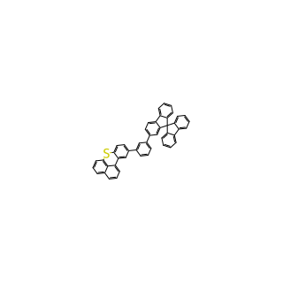 c1cc(-c2ccc3c(c2)-c2cccc4cccc(c24)S3)cc(-c2ccc3c(c2)C2(c4ccccc4-c4ccccc42)c2ccccc2-3)c1